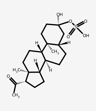 CC(=O)[C@H]1CC[C@H]2[C@@H]3CC[C@H]4C[C@](O)(OS(=O)(=O)O)CC[C@]4(C)[C@H]3CC[C@]12C